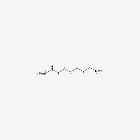 CCCCCNCCCCCCNC